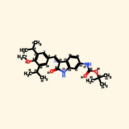 COc1c(C(C)C)cc(/C=C2\C(=O)Nc3cc(NC(=O)OC(C)(C)C)ccc32)cc1C(C)C